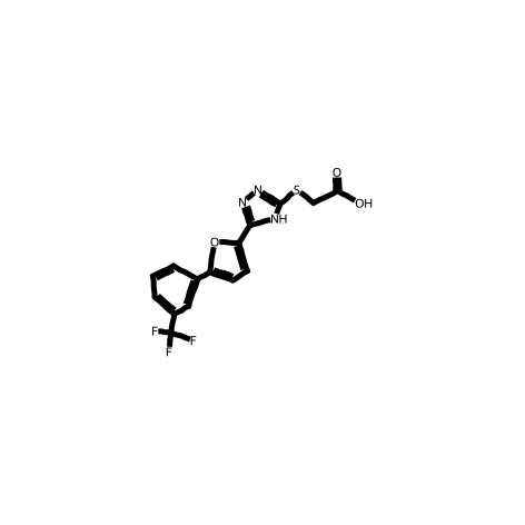 O=C(O)CSc1nnc(-c2ccc(-c3cccc(C(F)(F)F)c3)o2)[nH]1